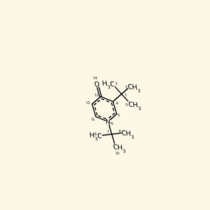 CC(C)(C)c1cn(C(C)(C)C)ccc1=O